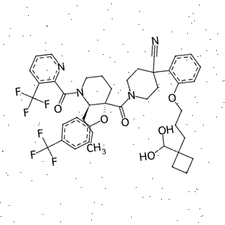 CCC[C@H]1N(C(=O)c2ncccc2C(F)(F)F)CCC[C@@]1(Oc1ccc(C(F)(F)F)cc1)C(=O)N1CCC(C#N)(c2ccccc2OCCCC2(C(O)O)CCC2)CC1